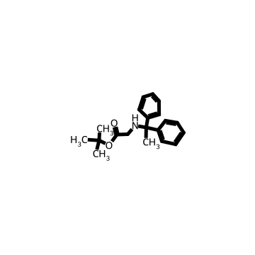 CC(C)(C)OC(=O)CNC(C)(c1ccccc1)c1ccccc1